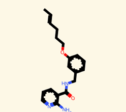 C/C=C/CCCOc1cccc(CNC(=O)c2cccnc2N)c1